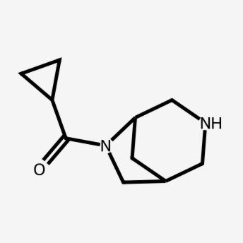 O=C(C1CC1)N1CC2CNCC1C2